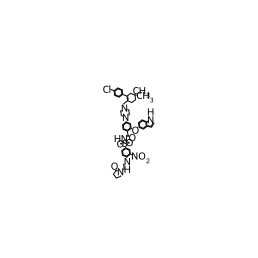 CC1(C)CCC(CN2CCN(c3ccc(C(=O)NS(=O)(=O)c4ccc(NCCN5CCCC5=O)c([N+](=O)[O-])c4)c(Oc4ccc5[nH]ccc5c4)c3)CC2)=C(c2ccc(Cl)cc2)C1